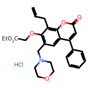 C=CCc1c(OCC(=O)OCC)c(CN2CCOCC2)cc2c(-c3ccccc3)cc(=O)oc12.Cl